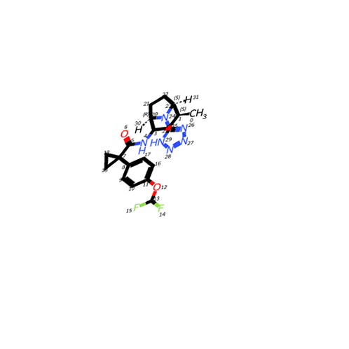 C[C@H]1CC(NC(=O)C2(c3ccc(OC(F)F)cc3)CC2)[C@H]2CC[C@@H]1N2c1nnn[nH]1